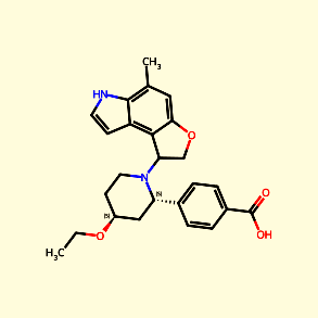 CCO[C@H]1CCN(C2COc3cc(C)c4[nH]ccc4c32)[C@H](c2ccc(C(=O)O)cc2)C1